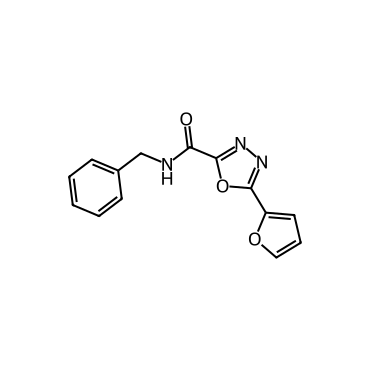 O=C(NCc1ccccc1)c1nnc(-c2ccco2)o1